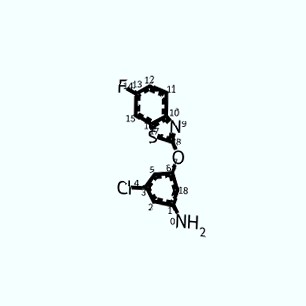 Nc1cc(Cl)cc(Oc2nc3ccc(F)cc3s2)c1